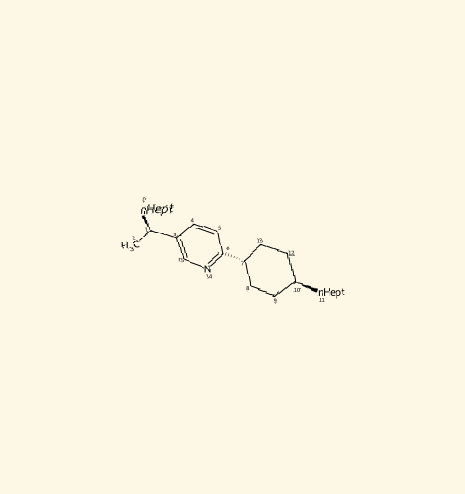 CCCCCCC[C@H](C)c1ccc([C@H]2CC[C@H](CCCCCCC)CC2)nc1